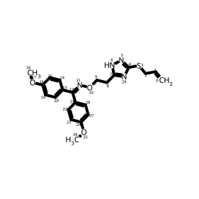 C=CCSc1n[nH]c(CCON=C(c2ccc(OC)cc2)c2ccc(OC)cc2)n1